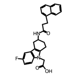 O=C(O)Cn1c2c(c3cc(F)ccc31)CC(NC(=O)CCc1cccc3ccccc13)CC2